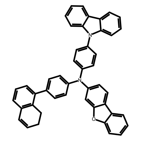 C1=Cc2cccc(-c3ccc(N(c4ccc(-n5c6ccccc6c6ccccc65)cc4)c4ccc5c(c4)oc4ccccc45)cc3)c2CC1